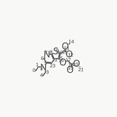 CCN(CC)c1cnc2sc(C(=O)OC)c(OCC(=O)OC)c2c1